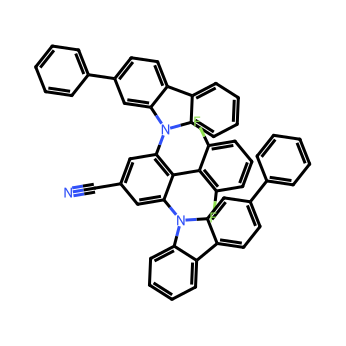 N#Cc1cc(-n2c3ccccc3c3ccc(-c4ccccc4)cc32)c(-c2c(F)cccc2F)c(-n2c3ccccc3c3ccc(-c4ccccc4)cc32)c1